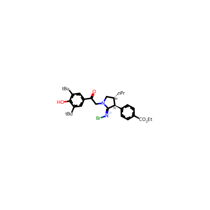 CCC[C@H]1CN(CC(=O)c2cc(C(C)(C)C)c(O)c(C(C)(C)C)c2)/C(=N\Br)[C@@H]1c1ccc(C(=O)OCC)cc1